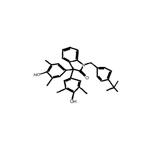 Cc1cc(C2(c3cc(C)c(O)c(C)c3)C(=O)N(Cc3ccc(C(C)(C)C)cc3)c3ccccc32)cc(C)c1O